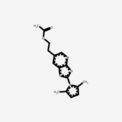 CC(=O)OCCc1cnc2nc(-n3c(C)ccc3C)sc2c1